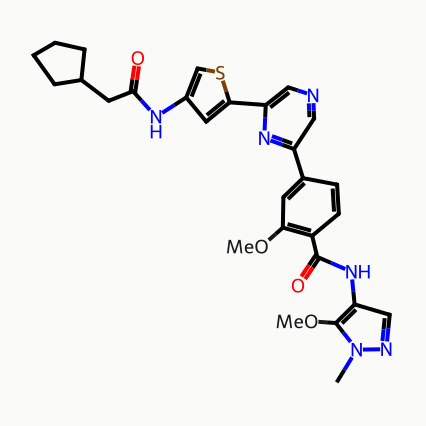 COc1cc(-c2cncc(-c3cc(NC(=O)CC4CCCC4)cs3)n2)ccc1C(=O)Nc1cnn(C)c1OC